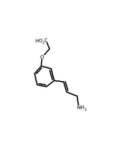 NCC=Cc1cccc(OCC(=O)O)c1